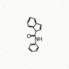 O=C(Nc1ccccc1)C1C=Cc2ccccc21